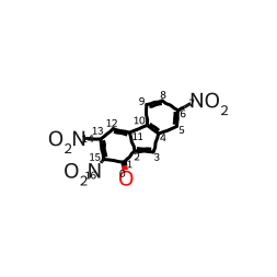 O=C1C2=Cc3cc([N+](=O)[O-])ccc3C2=CC([N+](=O)[O-])=C1[N+](=O)[O-]